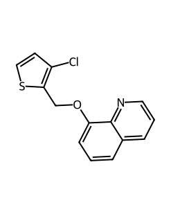 Clc1ccsc1COc1cccc2cccnc12